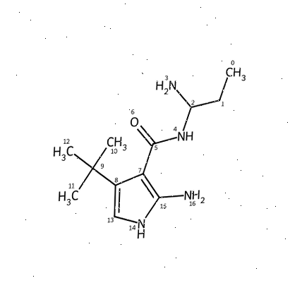 CCC(N)NC(=O)c1c(C(C)(C)C)c[nH]c1N